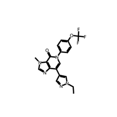 CCn1cc(-c2cn(-c3ccc(OC(F)(F)F)cc3)c(=O)c3c2ncn3C)cn1